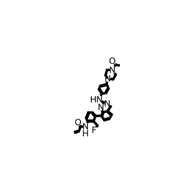 C=CC(=O)Nc1cccc(-c2cccc3cnc(Nc4ccc(N5CCN(C(C)=O)CC5)cc4)nc23)c1CF